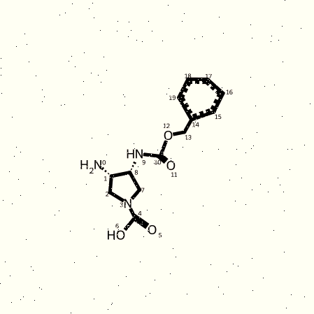 N[C@H]1CN(C(=O)O)C[C@H]1NC(=O)OCc1ccccc1